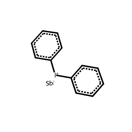 [Sb].c1ccc([I+]c2ccccc2)cc1